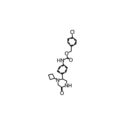 O=C1CN(C2CCC2)C(c2ccc(NC(=O)OCc3ccc(Cl)cc3)cc2)CN1